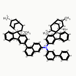 C[C@@H]1CC2CC(C1)[C@]1(c3ccccc3-c3cc(-c4cccc5cc(N(c6cccc(-c7ccccc7)c6)c6ccc7c(c6)-c6ccccc6[C@@]76[C@H]7CC(C[C@@H](C)C7)C[C@@H]6C)ccc45)ccc31)[C@@H](C)C2